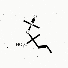 CC=CC(C)(OP(C)(C)=O)C(=O)O